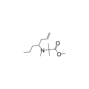 C=CCC(CCC)N(C)C(C)(C)C(=O)OC